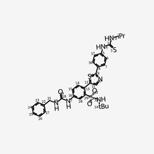 CC(C)NC(=S)Nc1ccc(-c2ncc(-c3ccc(NC(=O)NCc4ccccc4)cc3S(=O)(=O)NC(C)(C)C)s2)cc1